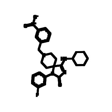 O=C1N=C(NC2CCCCC2)C2(CCN(Cc3cccc([N+](=O)[O-])c3)CC2)N1c1cccc(F)c1